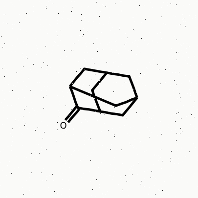 O=C1[C]2CC3CC(C2)CC1C3